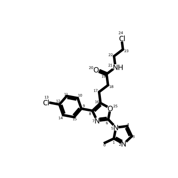 Cc1nccn1-c1nc(-c2ccc(Cl)cc2)c(CCC(=O)NCCCl)o1